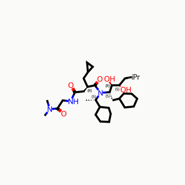 CC(C)C[C@H](O)[C@H](O)[C@H](CC1CCCCC1)N(C(=O)[C@@H](CC(=O)NCC(=O)N(C)C)CC1CC1)[C@@H](C)C1CCCCC1